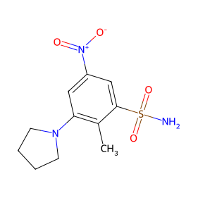 Cc1c(N2CCCC2)cc([N+](=O)[O-])cc1S(N)(=O)=O